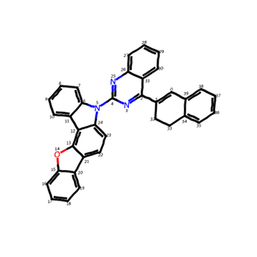 C1=C(c2nc(-n3c4ccccc4c4c5oc6ccccc6c5ccc43)nc3ccccc23)CCc2ccccc21